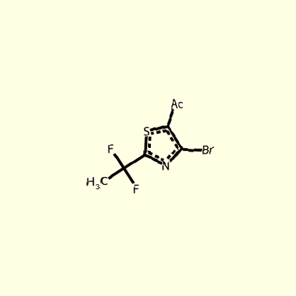 CC(=O)c1sc(C(C)(F)F)nc1Br